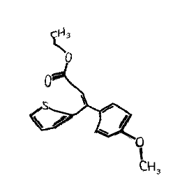 CCOC(=O)C=C(c1ccc(OC)cc1)c1cccs1